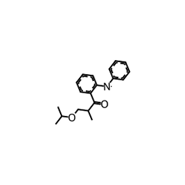 CC(C)OCC(C)C(=O)c1ccccc1[N]c1ccccc1